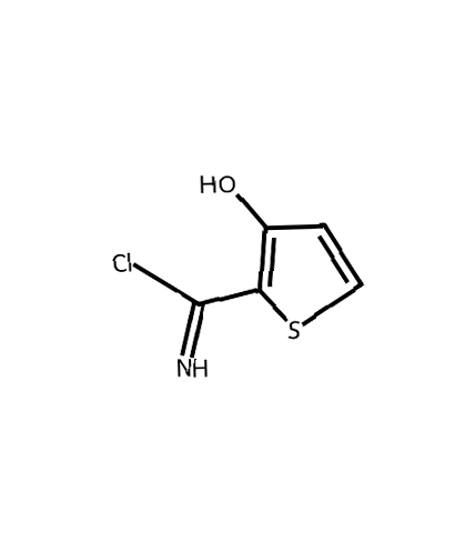 N=C(Cl)c1sccc1O